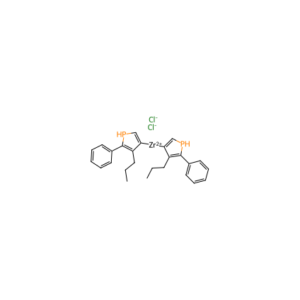 CCCc1[c]([Zr+2][c]2c[pH]c(-c3ccccc3)c2CCC)c[pH]c1-c1ccccc1.[Cl-].[Cl-]